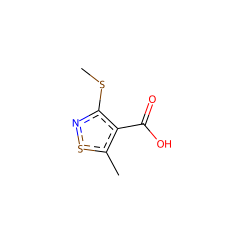 CSc1nsc(C)c1C(=O)O